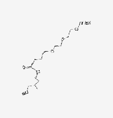 CCCCCCCOCCOCCOCCCC(=O)OCCC(C)CC(C)(C)C